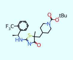 C[C@H](NC1=NC(=O)C(C)(CC2CCN(C(=O)OC(C)(C)C)CC2)S1)c1ccccc1C(F)(F)F